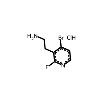 Cl.NCCc1c(Br)ccnc1F